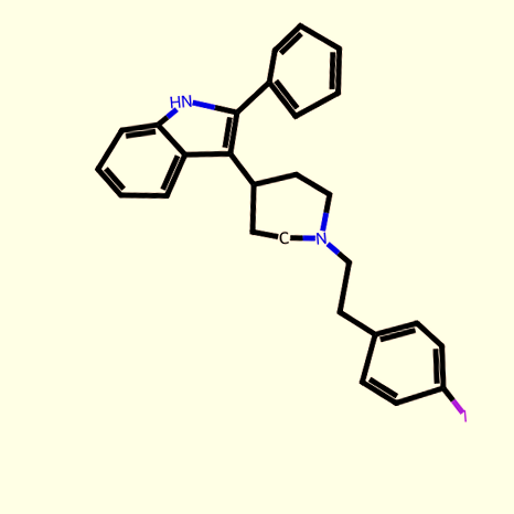 Ic1ccc(CCN2CCC(c3c(-c4ccccc4)[nH]c4ccccc34)CC2)cc1